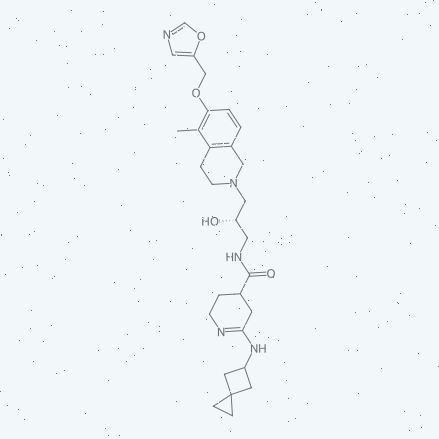 Cc1c(OCc2cnco2)ccc2c1CCN(C[C@@H](O)CNC(=O)C1CCN=C(NC3CC4(CC4)C3)C1)C2